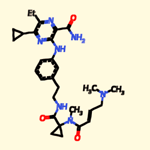 CCc1nc(C(N)=O)c(Nc2cccc(CCNC(=O)C3(N(C)C(=O)/C=C/CN(C)C)CC3)c2)nc1C1CC1